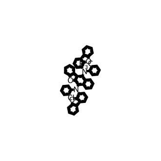 Cc1ccccc1N(c1cccc2c1oc1ccccc12)c1c2ccccc2c(N(c2ccccc2C)c2cccc3c2oc2ccccc23)c2c1oc1ccccc12